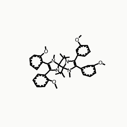 COc1cccc(C2=C(c3cccc(OC)c3)N(C)C(C(C)C)(C3(C(C)C)N(C)C(c4ccccc4OC)=C(c4ccccc4OC)N3C)N2C)c1